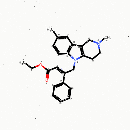 CCOC(=O)/C=C(/Cn1c2c(c3cc(C)ccc31)CN(C)CC2)c1ccccc1